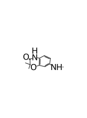 CC1(C)Oc2cc([NH])ccc2NC1=O